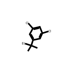 CCC(C)(C)c1cc(Cl)cc(Cl)c1